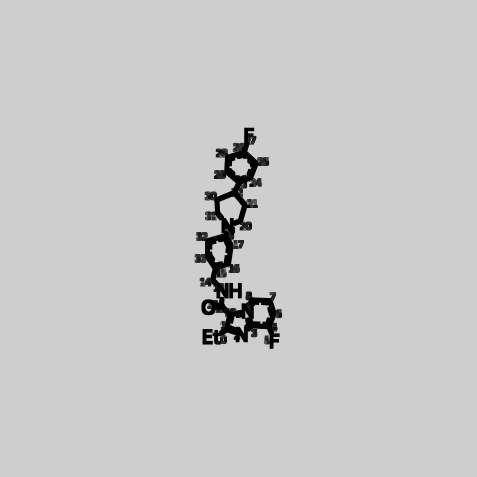 CCc1nc2c(F)cccn2c1C(=O)NCc1ccc(N2CCC(c3ccc(F)cc3)CC2)cc1